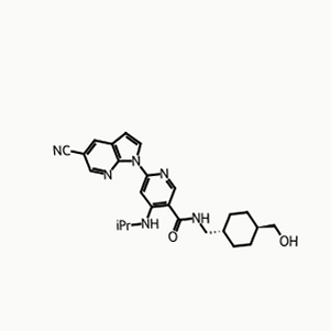 CC(C)Nc1cc(-n2ccc3cc(C#N)cnc32)ncc1C(=O)NC[C@H]1CC[C@H](CO)CC1